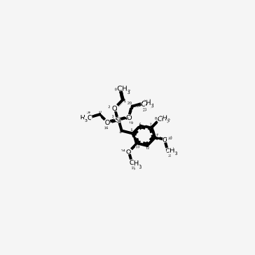 CCO[Si](Cc1cc(C)c(OC)cc1OC)(OCC)OCC